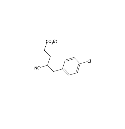 CCOC(=O)CCC(C#N)Cc1ccc(Cl)cc1